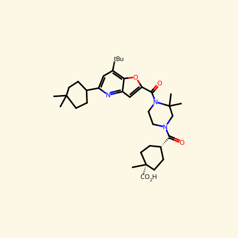 CC1(C)CCC(c2cc(C(C)(C)C)c3oc(C(=O)N4CCN(C(=O)[C@H]5CC[C@@](C)(C(=O)O)CC5)CC4(C)C)cc3n2)CC1